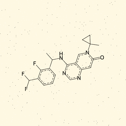 CC(Nc1ncnc2cc(=O)n(C3(C)CC3)cc12)c1cccc(C(F)F)c1F